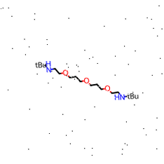 CC(C)(C)NCCOCCCOCCCOCCNC(C)(C)C